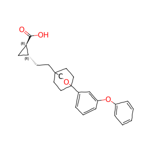 O=C(O)[C@@H]1C[C@H]1CCC12CCC(c3cccc(Oc4ccccc4)c3)(CC1)OC2